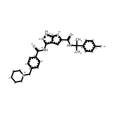 CC(C)(NC(=O)c1cc2c(NC(=O)c3ccc(CN4CCCCC4)cc3)n[nH]c2s1)c1ccc(F)cc1